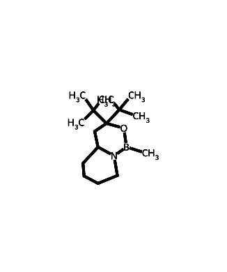 CB1OC(C(C)(C)C)(C(C)(C)C)CC2CCCCN12